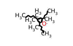 CCCCCC(C)(C)c1cc(C(C)CCCC)c([O])c(C(C)CCCC)c1